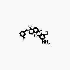 Nc1cc(Cl)c(Oc2ccc3c(c2)CCN(Cc2cccc(F)c2)C3=O)c(Cl)c1